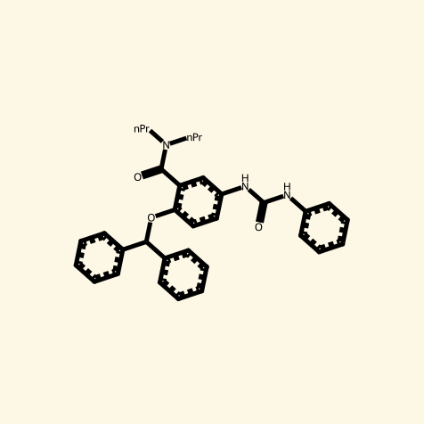 CCCN(CCC)C(=O)c1cc(NC(=O)Nc2ccccc2)ccc1OC(c1ccccc1)c1ccccc1